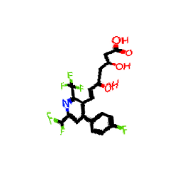 O=C(O)CC(O)CC(O)/C=C/c1c(-c2ccc(F)cc2)cc(C(F)F)nc1C(F)(F)F